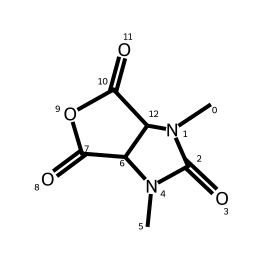 CN1C(=O)N(C)C2C(=O)OC(=O)C21